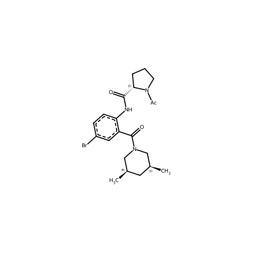 CC(=O)N1CCC[C@H]1C(=O)Nc1ccc(Br)cc1C(=O)N1C[C@H](C)C[C@H](C)C1